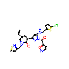 C=Cc1cc(-c2cc(NCc3ccc(Cl)s3)n(C(=O)c3ccno3)n2)c(=O)n(Cc2ccsn2)c1